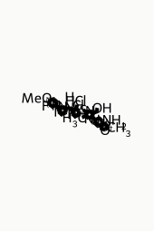 CO[C@@H]1CCN(c2nccc(Nc3nccc(Sc4nc(CO)c(N5CCC6(CC5)CO[C@@H](C)[C@H]6N)nc4C)c3Cl)n2)C[C@@H]1F.Cl